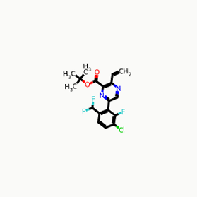 C=Cc1ncc(-c2c(C(F)F)ccc(Cl)c2F)nc1C(=O)OC(C)(C)C